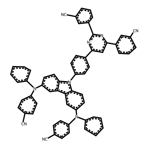 N#Cc1ccc(N(c2ccccc2)c2ccc3c(c2)c2cc(N(c4ccccc4)c4ccc(C#N)cc4)ccc2n3-c2ccc(-c3cc(-c4cccc(C#N)c4)nc(-c4cccc(C#N)c4)n3)cc2)cc1